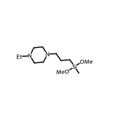 CCN1CCN(CCC[Si](C)(OC)OC)CC1